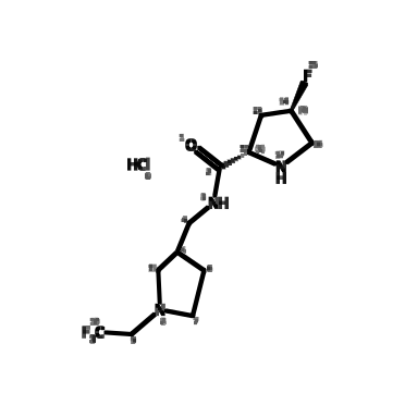 Cl.O=C(NCC1CCN(CC(F)(F)F)C1)[C@@H]1C[C@@H](F)CN1